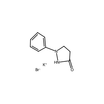 O=C1CCN(c2ccccc2)N1.[Br-].[K+]